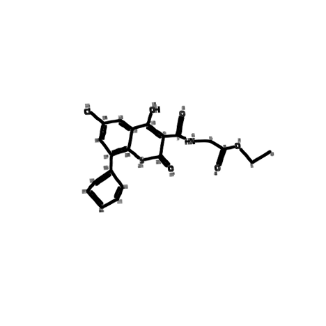 CCOC(=O)CNC(=O)c1c(O)c2cc(Cl)cc(-c3ccccc3)c2sc1=O